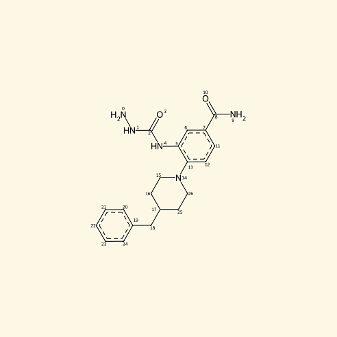 NNC(=O)Nc1cc(C(N)=O)ccc1N1CCC(Cc2ccccc2)CC1